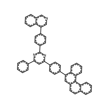 c1ccc(-c2cc(-c3ccc(-c4cc5ccc6ccccc6c5c5ccccc45)cc3)nc(-c3ccc(-c4cncc5ccccc45)cc3)n2)cc1